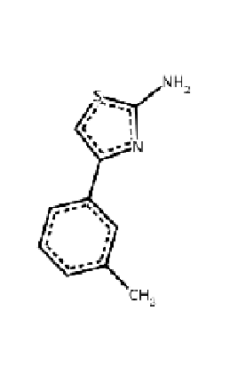 Cc1cccc(-c2csc(N)n2)c1